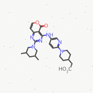 CC1CC(C)CN(c2nc(Nc3ccc(N4CCC(CC(=O)O)CC4)nc3)c3c(=O)occc3n2)C1